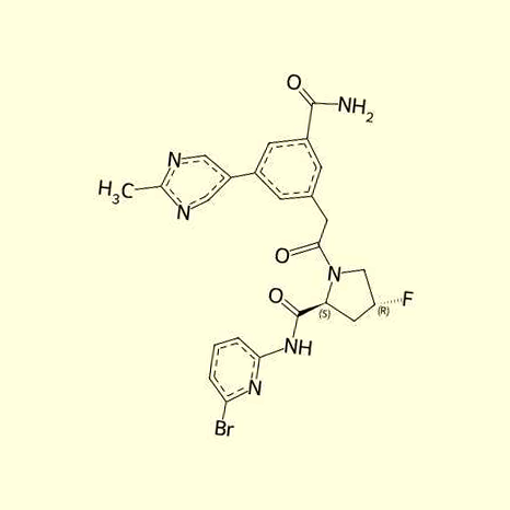 Cc1ncc(-c2cc(CC(=O)N3C[C@H](F)C[C@H]3C(=O)Nc3cccc(Br)n3)cc(C(N)=O)c2)cn1